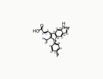 CC(C)c1c(/C=C/C(=O)O)c2cc3[nH]ncc3cc2n1-c1ccc(F)cc1